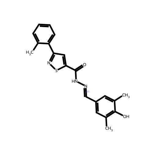 Cc1ccccc1-c1cc(C(=O)N/N=C/c2cc(C)c(O)c(C)c2)sn1